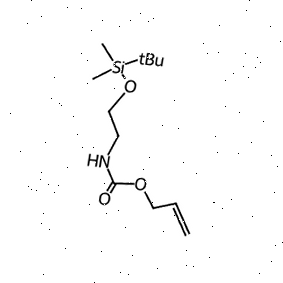 C=CCOC(=O)NCCO[Si](C)(C)C(C)(C)C